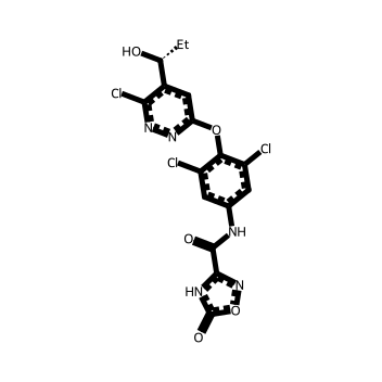 CC[C@@H](O)c1cc(Oc2c(Cl)cc(NC(=O)c3noc(=O)[nH]3)cc2Cl)nnc1Cl